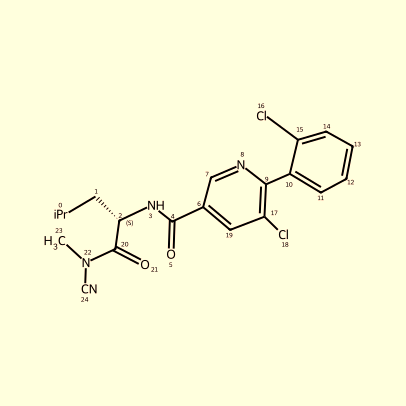 CC(C)C[C@H](NC(=O)c1cnc(-c2ccccc2Cl)c(Cl)c1)C(=O)N(C)C#N